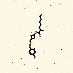 CCCCCCC(C)C(=O)OC1CC(COCc2ccc(F)cc2Cl)C1